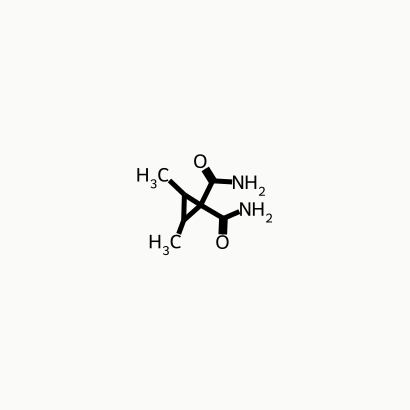 CC1C(C)C1(C(N)=O)C(N)=O